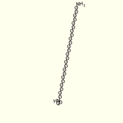 CC(C)(C)OC(=O)NCCOCCOCCOCCOCCOCCOCCOCCOCCOCCOCCOCCOCCOCCOCCOCCOCCOCCOCCOCCOCCOCCOCCOCCOCCN